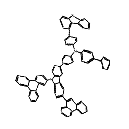 c1ccc(-c2ccc(N(c3ccc(-c4ccc5c(c4)c4cc(-c6cc7ccccc7c7ccccc67)ccc4n5-c4ccc5c6ccccc6c6ccccc6c5c4)cc3)c3ccc(-c4cccc5sc6ccccc6c45)cc3)cc2)cc1